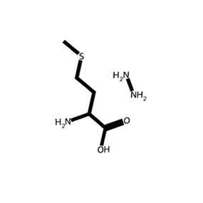 CSCCC(N)C(=O)O.NN